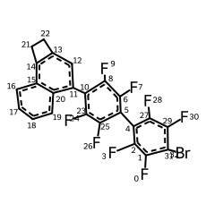 Fc1c(F)c(-c2c(F)c(F)c(-c3cc4c(c5ccccc35)CC4)c(F)c2F)c(F)c(F)c1Br